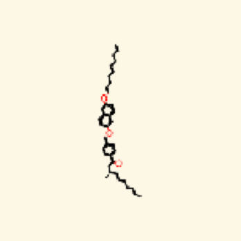 CCCCCCCCCCOc1ccc2cc(OCc3ccc(C(=O)C[C@H](C)CCCCCCC)cc3)ccc2c1